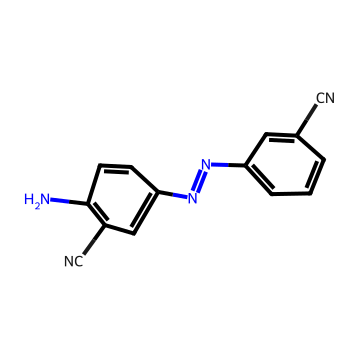 N#Cc1cccc(/N=N/c2ccc(N)c(C#N)c2)c1